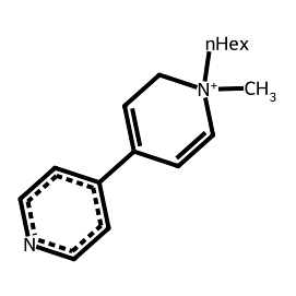 CCCCCC[N+]1(C)C=CC(c2ccncc2)=CC1